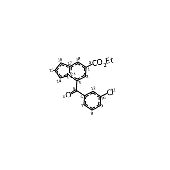 CCOC(=O)c1cc(C(=O)c2cccc(Cl)c2)n2cccc2c1